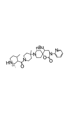 CCCCC1CN(c2ccccn2)C(=O)OC12CCN(C1(C)CCN(C(=O)C3C(C)CCN[C@H]3C)CC1)CC2